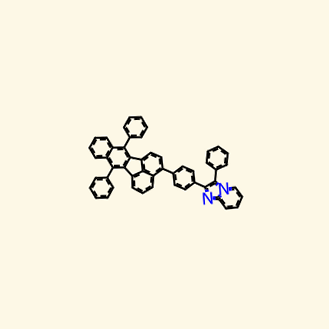 c1ccc(-c2c3c(c(-c4ccccc4)c4ccccc24)-c2ccc(-c4ccc(-c5nc6ccccn6c5-c5ccccc5)cc4)c4cccc-3c24)cc1